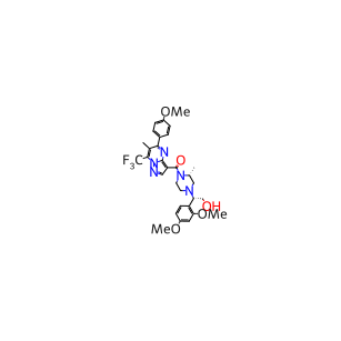 COc1ccc(-c2nc3c(C(=O)N4CCN([C@H](CO)c5ccc(OC)cc5OC)C[C@H]4C)cnn3c(C(F)(F)F)c2C)cc1